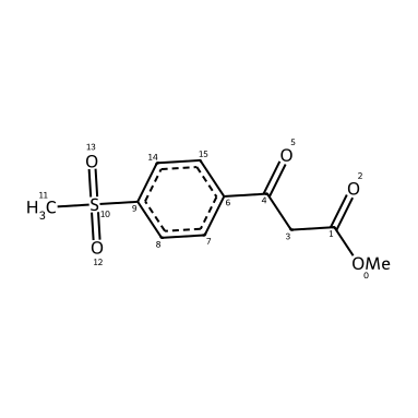 COC(=O)CC(=O)c1ccc(S(C)(=O)=O)cc1